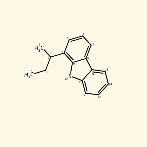 CCC(C)c1cccc2c1sc1ccccc12